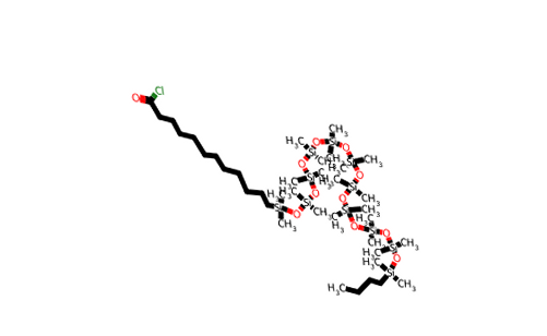 CCCC[Si](C)(C)O[Si](C)(C)O[Si](C)(C)O[Si](C)(C)O[Si](C)(C)O[Si](C)(C)O[Si](C)(C)O[Si](C)(C)O[Si](C)(C)O[Si](C)(C)O[Si](C)(C)CCCCCCCCCCCC(=O)Cl